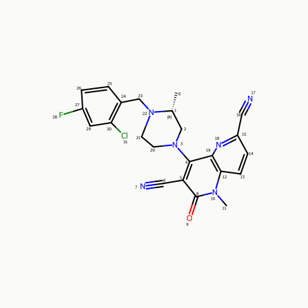 C[C@@H]1CN(c2c(C#N)c(=O)n(C)c3ccc(C#N)nc23)CCN1Cc1ccc(F)cc1Cl